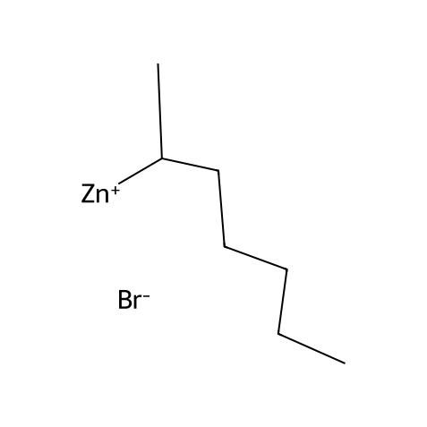 CCCCC[CH](C)[Zn+].[Br-]